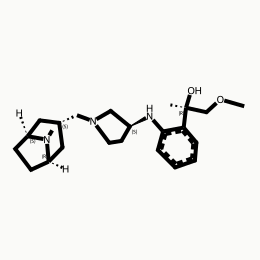 COC[C@](C)(O)c1ccccc1N[C@H]1CCN(C[C@@H]2C[C@H]3CC[C@@H](C2)N3C)C1